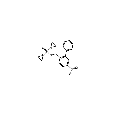 O=[N+]([O-])c1ccc(COP(=O)(N2CC2)N2CC2)c(-c2ccccc2)c1